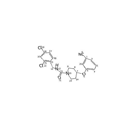 N#Cc1cccc(OC2CCN(C(=O)NCc3ccc(Cl)cc3Cl)CC2)c1